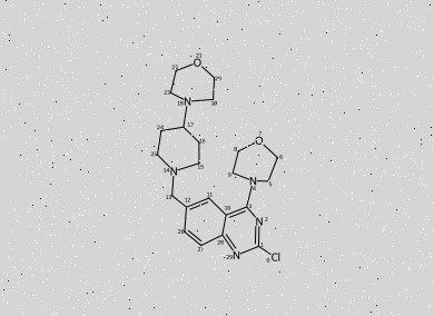 Clc1nc(N2CCOCC2)c2cc(CN3CCC(N4CCOCC4)CC3)ccc2n1